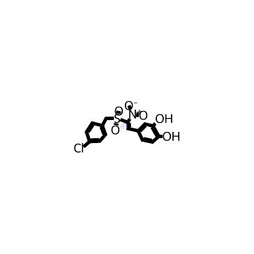 O=[N+]([O-])/C(=C\c1ccc(O)c(O)c1)S(=O)(=O)Cc1ccc(Cl)cc1